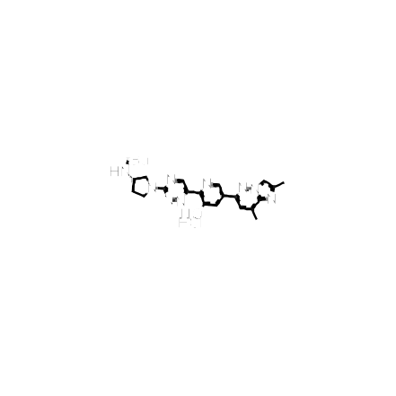 Cc1cn2nc(-c3cnc(-c4cnc(N5CC[C@@H](NC(C)(C)C)C5)nn4)c(O)c3)cc(C)c2n1.Cl